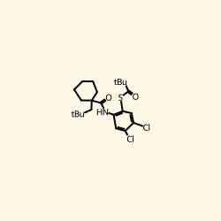 CC(C)(C)CC1(C(=O)Nc2cc(Cl)c(Cl)cc2SC(=O)C(C)(C)C)CCCCC1